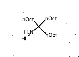 CCCCCCCCC(N)(CCCCCCCC)CCCCCCCC.I